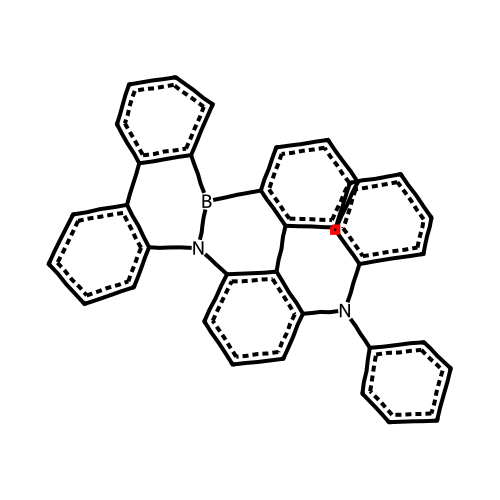 c1ccc(N(c2ccccc2)c2cccc3c2-c2ccccc2B2c4ccccc4-c4ccccc4N23)cc1